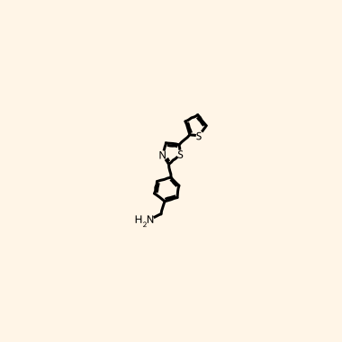 NCc1ccc(-c2ncc(-c3cccs3)s2)cc1